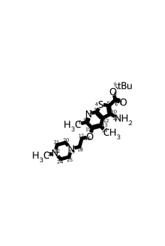 Cc1nc2sc(C(=O)OC(C)(C)C)c(N)c2c(C)c1OCCN1CCN(C)CC1